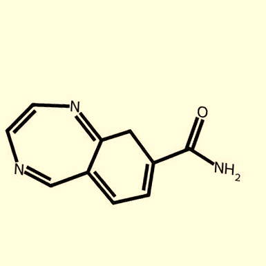 NC(=O)C1=CC=C2C=NC=CN=C2C1